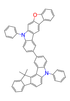 CC1(C)c2ccccc2-c2ccc3c(c21)c1cc(-c2ccc4c(c2)c2cc5c(cc2n4-c2ccccc2)oc2ccccc25)ccc1n3-c1ccccc1